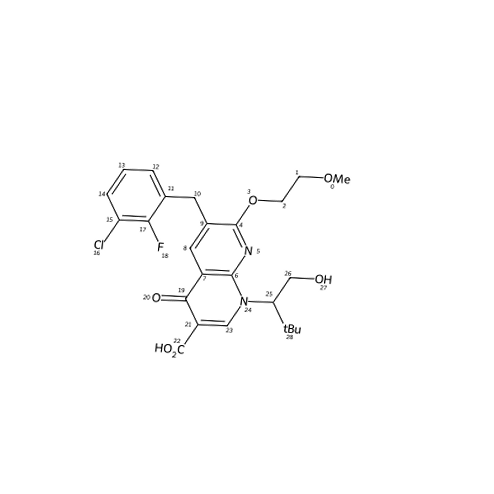 COCCOc1nc2c(cc1Cc1cccc(Cl)c1F)c(=O)c(C(=O)O)cn2C(CO)C(C)(C)C